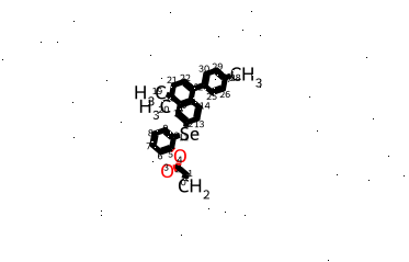 C=CC(=O)Oc1ccccc1[Se]c1ccc2c(c1)C(C)(C)CC=C2c1ccc(C)cc1